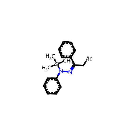 CC(=O)CC(=NN(c1ccccc1)[Si](C)(C)C)c1ccccc1